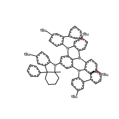 CC(C)(C)c1ccc(N2c3cc(C(C)(C)C)ccc3B3c4ccc(C(C)(C)C)cc4N(c4ccc(C(C)(C)C)cc4-c4ccccc4)c4cc(N5c6ccc(C(C)(C)C)cc6C6(c7ccccc7)CCCCC56C)cc2c43)c(-c2ccccc2)c1